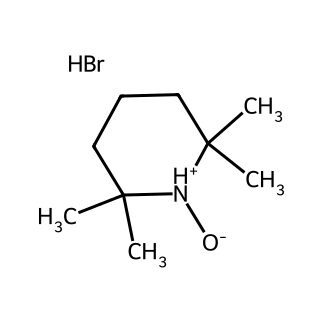 Br.CC1(C)CCCC(C)(C)[NH+]1[O-]